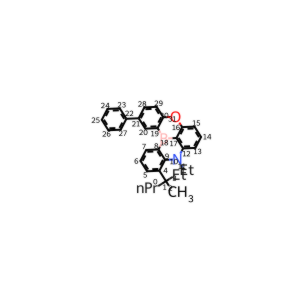 CCCC(C)(CC)c1cccc2c1N(CC)c1cccc3c1B2c1cc(-c2ccccc2)ccc1O3